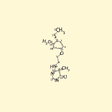 CSc1ccc(OCCNc2ncnc(Cl)c2C)cc1C